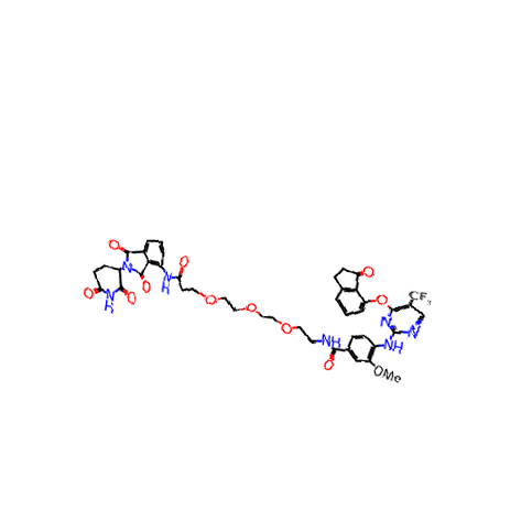 COc1cc(C(=O)NCCOCCOCCOCCC(=O)Nc2cccc3c2C(=O)N(C2CCC(=O)NC2=O)C3=O)ccc1Nc1ncc(C(F)(F)F)c(Oc2cccc3c2C(=O)CC3)n1